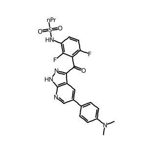 CCCS(=O)(=O)Nc1ccc(F)c(C(=O)c2n[nH]c3ncc(-c4ccc(N(C)C)cc4)cc23)c1F